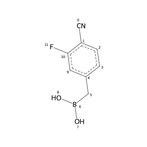 N#Cc1ccc(CB(O)O)cc1F